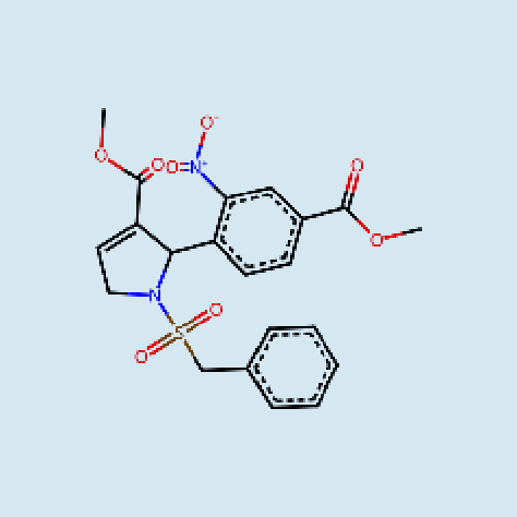 COC(=O)C1=CCN(S(=O)(=O)Cc2ccccc2)C1c1ccc(C(=O)OC)cc1[N+](=O)[O-]